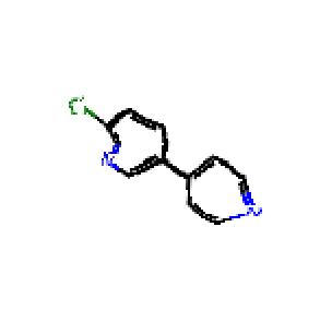 Clc1ccc(-c2ccncc2)cn1